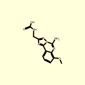 COc1cccc2c1nc(N)n1nc(CNC(=O)O)nc21